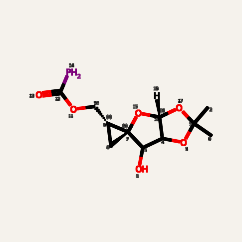 CC1(C)OC2C(O)[C@@]3(C[C@@H]3COC(=O)P)O[C@@H]2O1